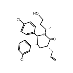 C=CC[C@@H]1C[C@H](c2cccc(Cl)c2)[C@@H](c2ccc(Cl)cc2)N([C@@H](C)CCO)C1=O